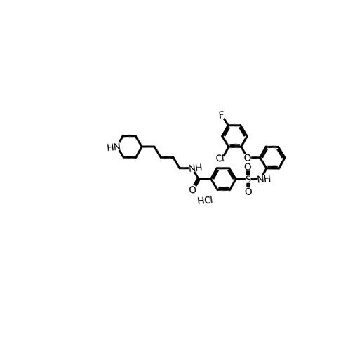 Cl.O=C(NCCCCC1CCNCC1)c1ccc(S(=O)(=O)Nc2ccccc2Oc2ccc(F)cc2Cl)cc1